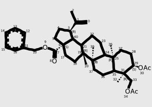 C=C(C)[C@@H]1CC[C@]2(C(=O)OCc3ccccc3)CC[C@]3(C)C(CCC4[C@@]5(C)CC[C@H](OC(C)=O)[C@@](C)(COC(C)=O)C5CC[C@]43C)C12